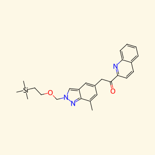 Cc1cc(CC(=O)c2ccc3ccccc3n2)cc2cn(COCC[Si](C)(C)C)nc12